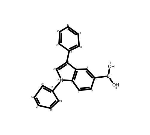 OB(O)c1ccc2c(c1)c(-c1ccccc1)cn2-c1ccccc1